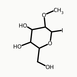 COC1C(I)OC(CO)C(O)C1O